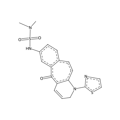 CN(C)S(=O)(=O)Nc1ccc2ccc3c(c(=O)c2c1)C=CCN3c1nccs1